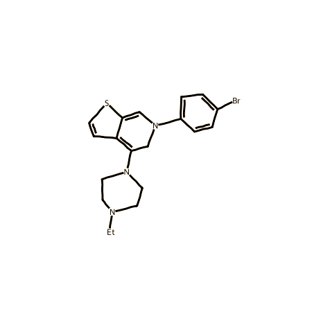 CCN1CCN(C2=c3ccsc3=CN(c3ccc(Br)cc3)C2)CC1